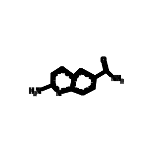 NC(=O)c1ccc2nc(N)ccc2c1